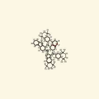 Cc1cc2c3c(c1)N(c1cc4c(cc1-c1ccccc1)C(C)(C)CCC4(C)C)c1c(ccc4c1sc1ccccc14)B3c1sc3cc4c(cc3c1N2c1ccc2c(c1)C(C)(C)CCC2(C)C)C(C)(C)CCC4(C)C